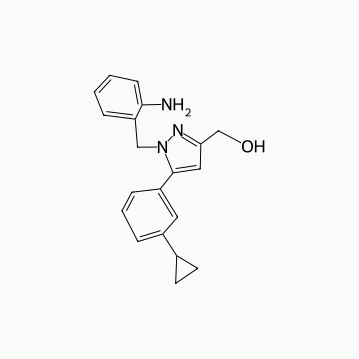 Nc1ccccc1Cn1nc(CO)cc1-c1cccc(C2CC2)c1